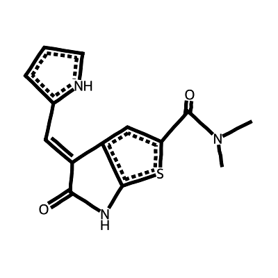 CN(C)C(=O)c1cc2c(s1)NC(=O)C2=Cc1ccc[nH]1